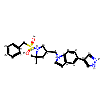 CC1(C)CC(Cn2ccc3cc(-c4cn[nH]c4)ccc32)CN1S(=O)(=O)Cc1ccccc1